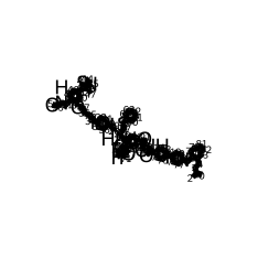 C=C(C)CCC1=C(CN2CCN(c3ccc(C(=O)NS(=O)(=O)c4ccc(N[C@H](CCN5CCN(CCCCOc6cc(-c7scnc7C)ccc6CNC=O)CC5)CSc5ccccc5)c(S(=O)(=O)C(F)(F)F)c4)cc3)CC2)CCC(C)(C)C1